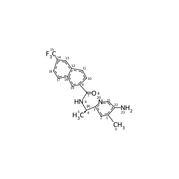 Cc1cc([C@@H](C)NC(=O)c2ccc3cc(C(F)(F)F)ccc3c2)ncc1N